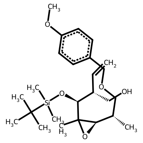 C=C[C@H](CO)[C@H](O[Si](C)(C)C(C)(C)C)C1(C)O[C@@H]1[C@@H](C)COCc1ccc(OC)cc1